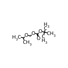 CC(C)OCOC(=O)OC(C)(C)C